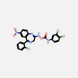 O=C(Nc1ccc(Cl)c(Cl)c1)ONC1=Nc2ccc([N+](=O)[O-])cc2C(c2ccccc2Cl)=NC1